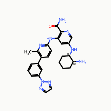 Cc1nc(Nc2cc(N[C@@H]3CCCC[C@@H]3N)cnc2C(N)=O)ccc1-c1cccc(-n2nccn2)c1